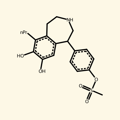 CCCc1c(O)c(O)cc2c1CCNCC2c1ccc(OS(C)(=O)=O)cc1